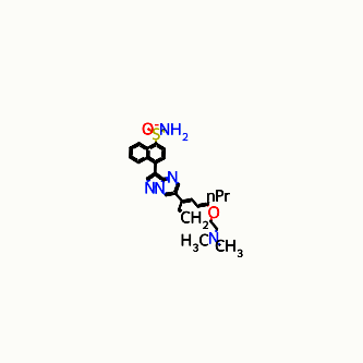 C=C/C(=C\C=C(/CCC)OCCN(C)C)c1cnc2c(-c3ccc([S+](N)[O-])c4ccccc34)cnn2c1